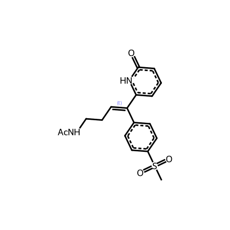 CC(=O)NCC/C=C(\c1ccc(S(C)(=O)=O)cc1)c1cccc(=O)[nH]1